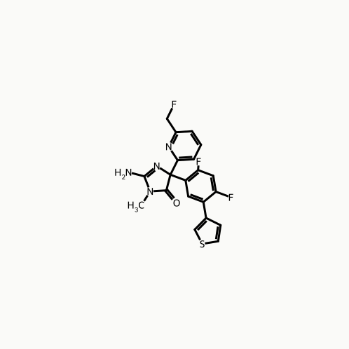 CN1C(=O)C(c2cccc(CF)n2)(c2cc(-c3ccsc3)c(F)cc2F)N=C1N